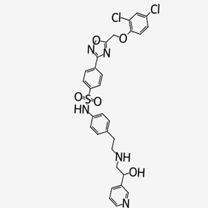 O=S(=O)(Nc1ccc(CCNCC(O)c2cccnc2)cc1)c1ccc(-c2noc(COc3ccc(Cl)cc3Cl)n2)cc1